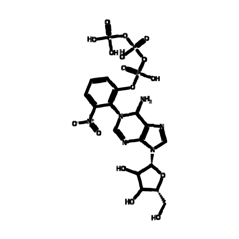 NC1c2ncn([C@@H]3O[C@H](CO)C(O)C3O)c2N=CN1c1c(OP(=O)(O)OP(=O)(O)OP(=O)(O)O)cccc1[N+](=O)[O-]